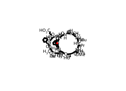 C=C1NC(=O)[C@H]([C@@H](C)CC)NC(=O)[C@@H]2CSSC[C@H](NC(=O)CCC(=O)O)C(=O)N[C@H](Cc3ccccc3)C(=O)N[C@H](C)C(=O)N[C@@H](C[C@@H](C)CC)C(=O)N[C@@H](C(=O)N[C@H](Cc3ccccc3)C(=O)N3CCC[C@H]3C(=O)N2)[C@@H](C)OC(=O)[C@H](CO)CC(=O)[C@H]([C@@H](C)OC)N(C)C(=O)C(C(C)C)NC(=O)[C@H](C[C@H](C)CC)NC1=O